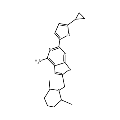 CC1CCCC(C)N1Cc1cc2c(N)nc(-c3ccc(C4CC4)o3)nc2s1